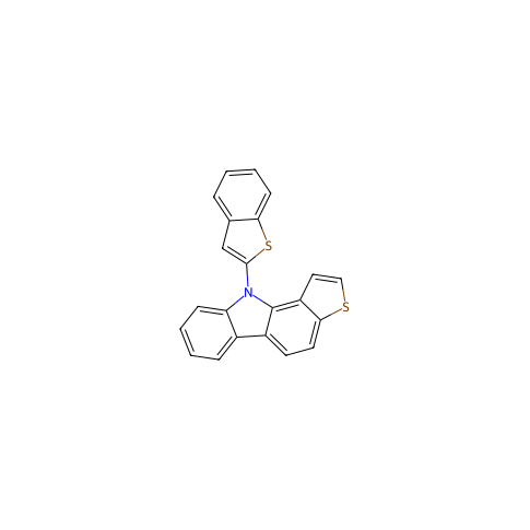 c1ccc2sc(-n3c4ccccc4c4ccc5sccc5c43)cc2c1